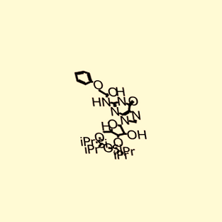 CC(C)[Si]1(C(C)C)OC[C@H]2O[C@@H](n3cnc4c(=O)[nH]c(NC(=O)COc5ccccc5)nc43)C(O)C2O[Si](C(C)C)(C(C)C)O1